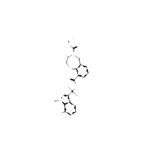 Cn1nc(C(C)(C)NC(=O)c2cccc3c2OCCN(C(=O)OC(C)(C)C)C3)c2cccc(F)c21